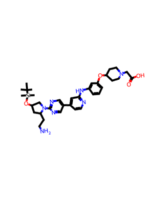 CC(C)(C)[Si](C)(C)OC1CC(CCN)N(c2ncc(-c3ccnc(Nc4cccc(OC5CCN(CC(=O)O)CC5)c4)c3)cn2)C1